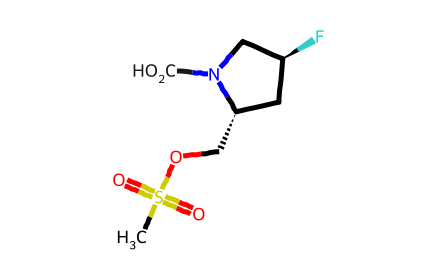 CS(=O)(=O)OC[C@H]1C[C@H](F)CN1C(=O)O